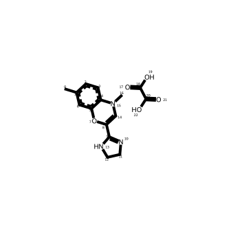 Cc1ccc2c(c1)OC(C1=NCCN1)=CN2C.O=C(O)C(=O)O